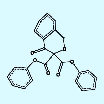 O=C(Oc1ccccc1)C1(C(=O)Oc2ccccc2)O[CH]c2ccccc2C1=O